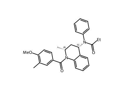 CCC(=O)N(c1ccccc1)[C@H]1C[C@@H](C)N(C(=O)c2ccc(OC)c(C)c2)c2ccccc21